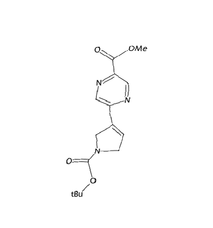 COC(=O)c1cnc(C2=CCN(C(=O)OC(C)(C)C)C2)cn1